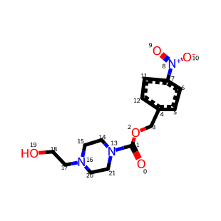 O=C(OCc1ccc([N+](=O)[O-])cc1)N1CCN(CCO)CC1